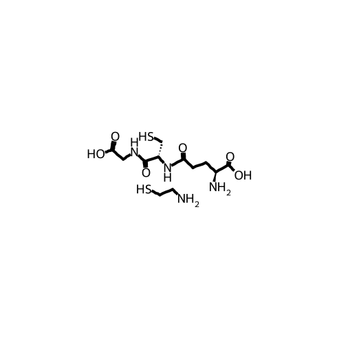 NCCS.N[C@@H](CCC(=O)N[C@@H](CS)C(=O)NCC(=O)O)C(=O)O